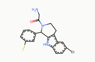 CCc1ccc2[nH]c3c(c2c1)CCN(C(=O)CN)C3c1cccc(F)c1